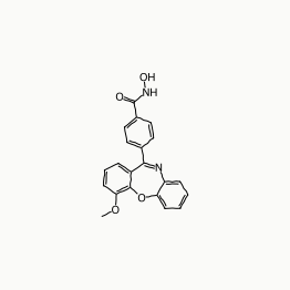 COc1cccc2c1Oc1ccccc1N=C2c1ccc(C(=O)NO)cc1